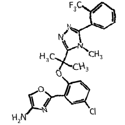 Cn1c(-c2ccccc2C(F)(F)F)nnc1C(C)(C)Oc1ccc(Cl)cc1-c1nc(N)co1